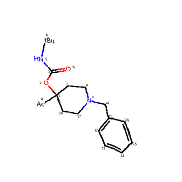 CC(=O)C1(OC(=O)NC(C)(C)C)CCN(Cc2ccccc2)CC1